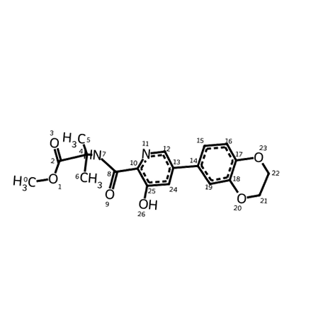 COC(=O)C(C)(C)NC(=O)c1ncc(-c2ccc3c(c2)OCCO3)cc1O